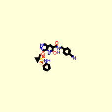 Cn1c(=O)c(C(=O)NCc2ccc(C#N)cc2)cc2cnnc(OCC3(S(=O)(=O)Nc4ccccc4)CC3)c21